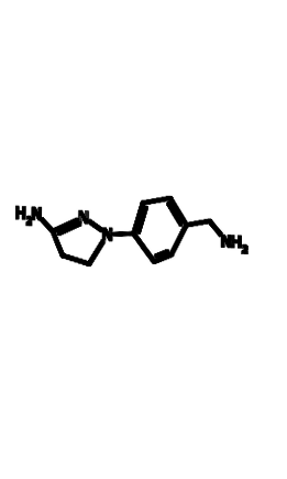 NCc1ccc(N2CCC(N)=N2)cc1